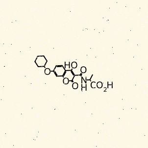 C[C@H](NC(=O)c1c(O)c2ccc(OC3CCCCC3)cc2oc1=O)C(=O)O